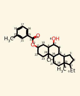 CCC1CCC2C3CC(O)C4CC(OC(=O)c5cccc(C)c5)CCC4(C)C3CCC12C